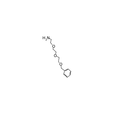 NCCOCCOCCOCc1ccccc1